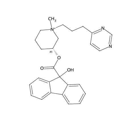 C[N+]1(CCCc2ccncn2)CCC[C@@H](OC(=O)C2(O)c3ccccc3-c3ccccc32)C1